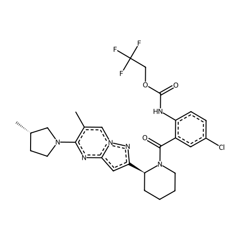 Cc1cn2nc([C@@H]3CCCCN3C(=O)c3cc(Cl)ccc3NC(=O)OCC(F)(F)F)cc2nc1N1CC[C@H](C)C1